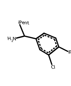 CCCC(C)C(N)c1ccc(C(C)C)c(Cl)c1